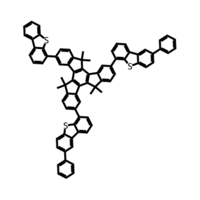 CC1(C)c2ccc(-c3cccc4c3sc3ccccc34)cc2-c2c1c1c(c3c2C(C)(C)c2ccc(-c4cccc5c4sc4ccc(-c6ccccc6)cc45)cc2-3)C(C)(C)c2ccc(-c3cccc4c3sc3ccc(-c5ccccc5)cc34)cc2-1